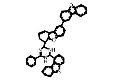 C1=Cc2c(oc3ccc(-c4ccc5oc6ccccc6c5c4)cc23)C(C2N=C(c3ccccc3)NC(c3cccc4sc5ccccc5c34)N2)C1